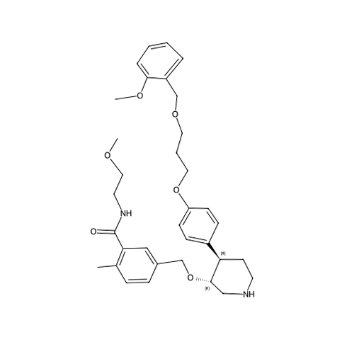 COCCNC(=O)c1cc(CO[C@H]2CNCC[C@@H]2c2ccc(OCCCOCc3ccccc3OC)cc2)ccc1C